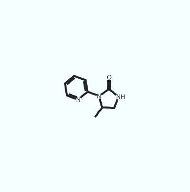 CC1CNC(=O)N1c1ccccn1